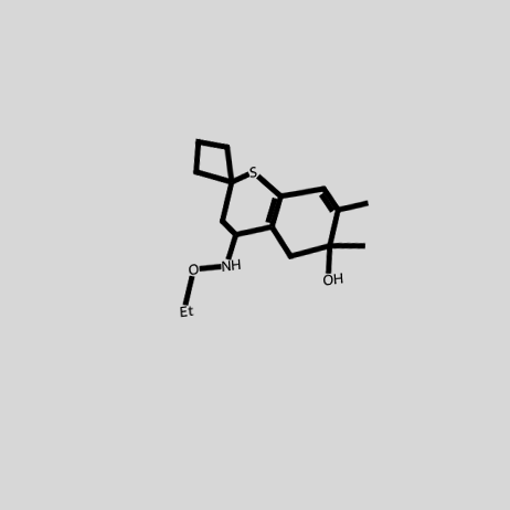 CCONC1CC2(CCC2)SC2=C1CC(C)(O)C(C)=C2